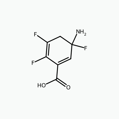 NC1(F)C=C(C(=O)O)C(F)=C(F)C1